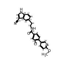 COc1ccc(-c2ccc(C(=O)NCCc3ccc4[nH]cc(C#N)c4c3)cc2Cl)cn1